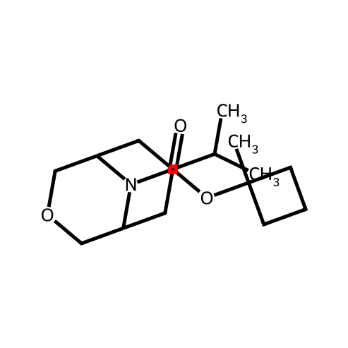 CC(C)C1CC2COCC(C1)N2C(=O)OC1(C)CCC1